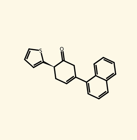 O=C1CC(c2cccc3ccccc23)=CC[C@H]1c1cccs1